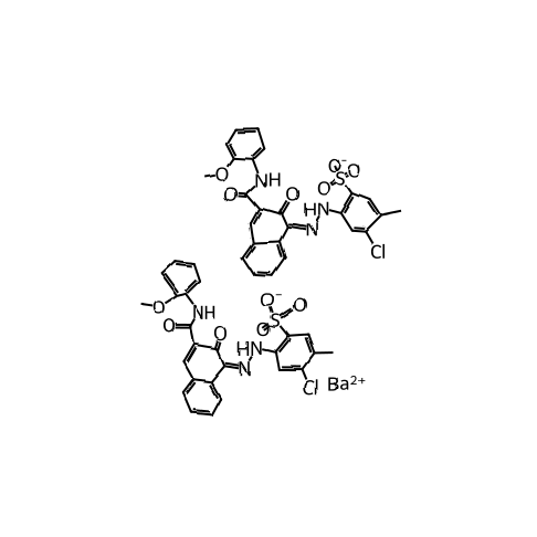 COc1ccccc1NC(=O)C1=Cc2ccccc2/C(=N/Nc2cc(Cl)c(C)cc2S(=O)(=O)[O-])C1=O.COc1ccccc1NC(=O)C1=Cc2ccccc2/C(=N/Nc2cc(Cl)c(C)cc2S(=O)(=O)[O-])C1=O.[Ba+2]